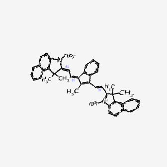 CCCN1/C(=C/C=C2C(C)=C(/C=C/C3=[N+](CCC)c4ccc5ccccc5c4C3(C)C)c3ccccc3/2)C(C)(C)c2c1ccc1ccccc21